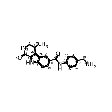 CC1CNC(=O)c2[nH]c3ccc(C(=O)Nc4ccc(CN)cc4)cc3c21